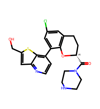 O=C([C@H]1CCc2cc(Cl)cc(-c3ccnc4cc(CO)sc34)c2O1)N1CCNCC1